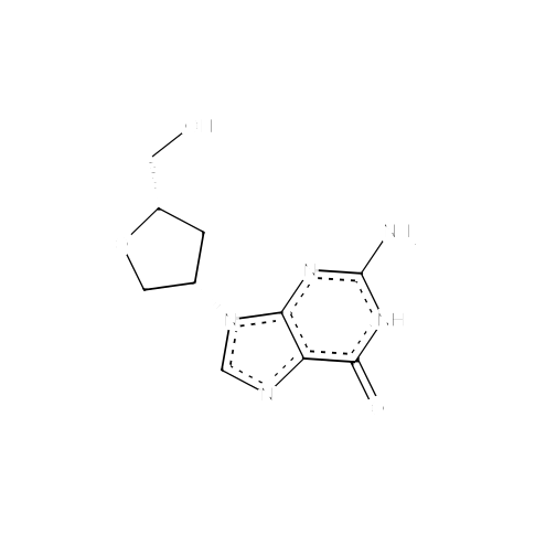 Nc1nc2c(ncn2[C@@H]2CO[C@H](CO)C2)c(=O)[nH]1